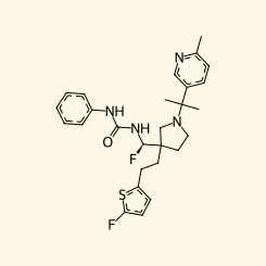 Cc1ccc(C(C)(C)N2CCC(CCc3ccc(F)s3)([C@@H](F)NC(=O)Nc3ccccc3)C2)cn1